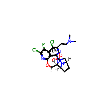 C[C@@H]1Oc2nc(Cl)c(F)c3c(Cl)c(CCN(C)C)nc(c23)N2C[C@H]3CC[C@@H]([C@@H]12)N3C(=O)OC(C)(C)C